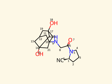 N#C[C@@H]1CCCN1C(=O)CNC12CC3CC(O)(CC(O)(C3)C1)C2